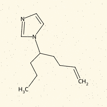 C=CCCC(CCC)n1ccnc1